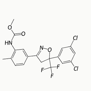 COC(=O)Nc1cc(C2=NOC(c3cc(Cl)cc(Cl)c3)(C(F)(F)F)C2)ccc1C